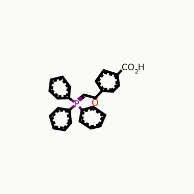 O=C(O)c1ccc(C(=O)C=P(c2ccccc2)(c2ccccc2)c2ccccc2)cc1